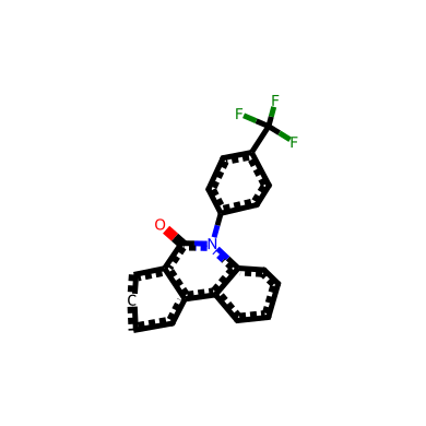 O=c1c2ccccc2c2ccccc2n1-c1ccc(C(F)(F)F)cc1